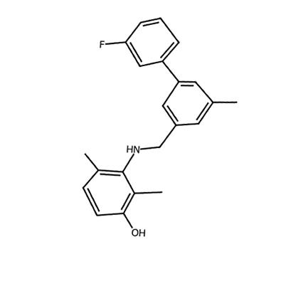 Cc1cc(CNc2c(C)ccc(O)c2C)cc(-c2cccc(F)c2)c1